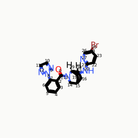 O=C(c1ccccc1-n1nccn1)N1CC2CC[C@H]1[C@H](Nc1ccc(Br)cn1)C2